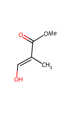 COC(=O)/C(C)=C/O